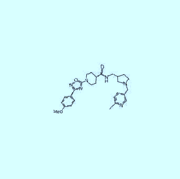 COc1ccc(-c2noc(N3CCC(C(=O)NCC4CCN(Cc5ccc(C)nc5)C4)CC3)n2)cc1